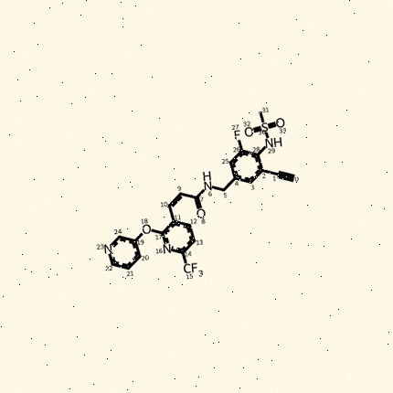 C#Cc1cc(CNC(=O)/C=C\c2ccc(C(F)(F)F)nc2Oc2cccnc2)cc(F)c1NS(C)(=O)=O